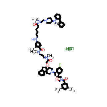 Cc1cc(NCCCCCC(=O)N(C)CCN2CCC(N(C(=O)O)c3ccccc3-c3ccccc3)CC2)ccc1C(=O)N(C)CCCN(C)C(=O)CO[C@H]1Cc2ccccc2C12CCN(CC[C@@]1(c3ccc(F)cc3)CN(C(=O)c3cc(C(F)(F)F)cc(C(F)(F)F)c3)CO1)CC2.Cl.Cl.Cl